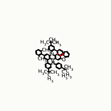 Cc1cccc(C)c1-c1cc2c3c(c1)N(c1ccc(C(C)(C)C)cc1-c1ccccc1)c1cc4c(cc1B3N(c1ccc(C(C)(C)C)cc1)c1cc(C(C)(C)C)ccc1-2)oc1ccccc14